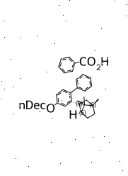 CCCCCCCCCCOc1ccc(-c2ccccc2)c([C@@H]2C[C@]3(C)CC[C@@H]2C3(C)C)c1.O=C(O)c1ccccc1